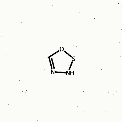 [C]1=NNSO1